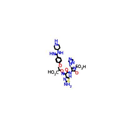 N=C(NC1CCNCC1)c1ccc(OC[C@H](O/N=C(\C(=O)NC2C(=O)N(S(=O)(=O)O)[C@H]2Cn2cncn2)c2csc(N)n2)C(=O)O)cc1